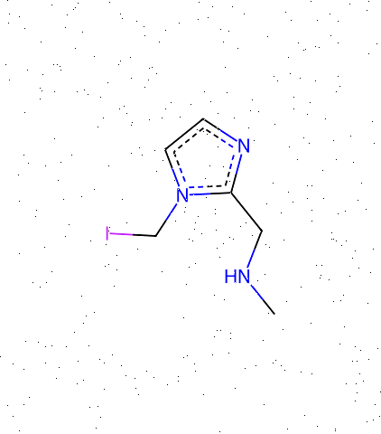 CNCc1nccn1CI